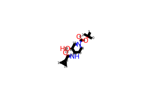 CC(C)(C)OC(=O)N1CC[C@H](NC(=O)C2CC2)[C@@H](O)C1